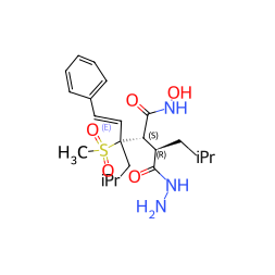 CC(C)C[C@@H](C(=O)NN)[C@@H](C(=O)NO)C(/C=C/c1ccccc1)(CC(C)C)S(C)(=O)=O